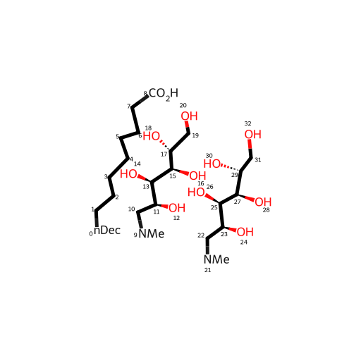 CCCCCCCCCCCCCCCCCC(=O)O.CNC[C@H](O)[C@@H](O)[C@H](O)[C@H](O)CO.CNC[C@H](O)[C@@H](O)[C@H](O)[C@H](O)CO